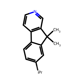 CC(C)c1ccc2c(c1)C(C)(C)c1cnccc1-2